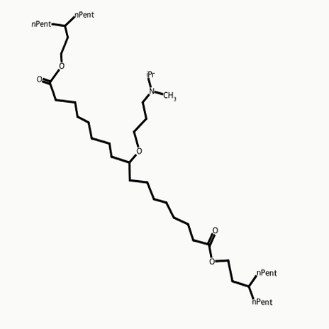 CCCCCC(CCCCC)CCOC(=O)CCCCCCCC(CCCCCCCC(=O)OCCC(CCCCC)CCCCC)OCCCN(C)C(C)C